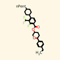 C=Cc1ccc(C2CCC(OC(=O)c3ccc(C4CCC(CCCCC)CC4)c(C(F)F)c3F)CO2)cc1